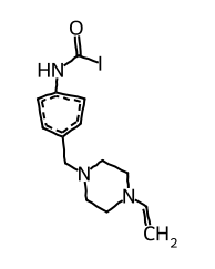 C=CN1CCN(Cc2ccc(NC(=O)I)cc2)CC1